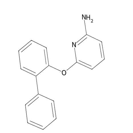 Nc1cccc(Oc2ccccc2-c2ccccc2)n1